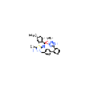 CCC1NN(Cc2ccc(-c3ccccc3-c3nnn[nH]3)cc2)C(=NC(=O)c2ccc(OC)cc2OC)S1